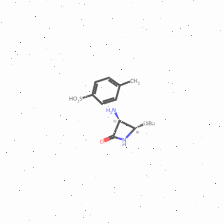 CC(C)CO[C@H]1NC(=O)[C@H]1N.Cc1ccc(S(=O)(=O)O)cc1